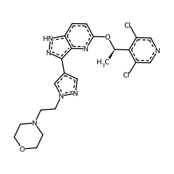 C[C@@H](Oc1ccc2[nH]nc(-c3cnn(CCN4CCOCC4)c3)c2n1)c1c(Cl)cncc1Cl